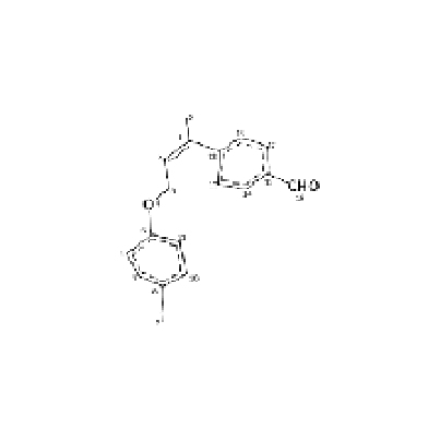 CC(=CCOc1ccc(C)cc1)c1ccc(C=O)cc1